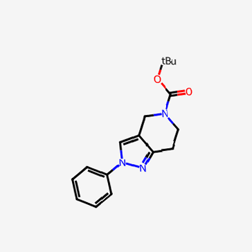 CC(C)(C)OC(=O)N1CCc2nn(-c3ccccc3)cc2C1